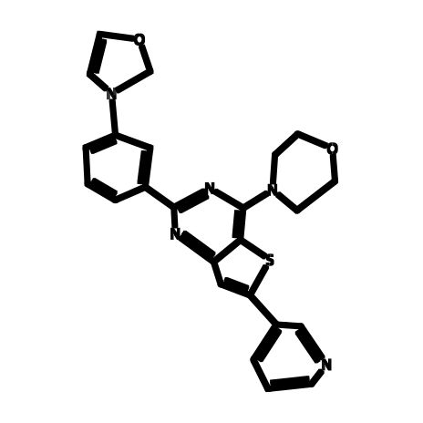 C1=CN(c2cccc(-c3nc(N4CCOCC4)c4sc(-c5cccnc5)cc4n3)c2)CO1